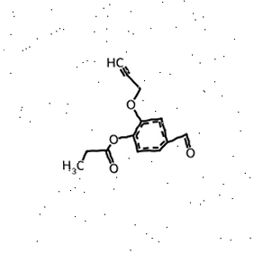 C#CCOc1cc(C=O)ccc1OC(=O)CC